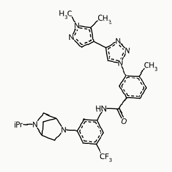 Cc1ccc(C(=O)Nc2cc(N3CC4CC3CN4C(C)C)cc(C(F)(F)F)c2)cc1-n1cc(-c2cnn(C)c2C)nn1